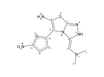 CN(C)C=C1NN=C2SC(N)=C(c3ccc([N+](=O)[O-])o3)N12